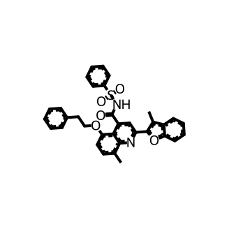 Cc1c(-c2cc(C(=O)NS(=O)(=O)c3ccccc3)c3c(OCCc4ccccc4)ccc(C)c3n2)oc2ccccc12